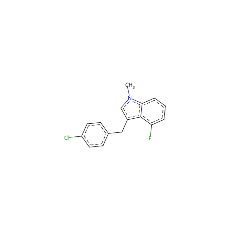 Cn1cc(Cc2ccc(Cl)cc2)c2c(F)cccc21